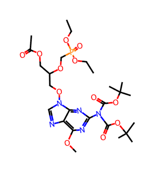 CCOP(=O)(COC(COC(C)=O)COn1cnc2c(OC)nc(N(C(=O)OC(C)(C)C)C(=O)OC(C)(C)C)nc21)OCC